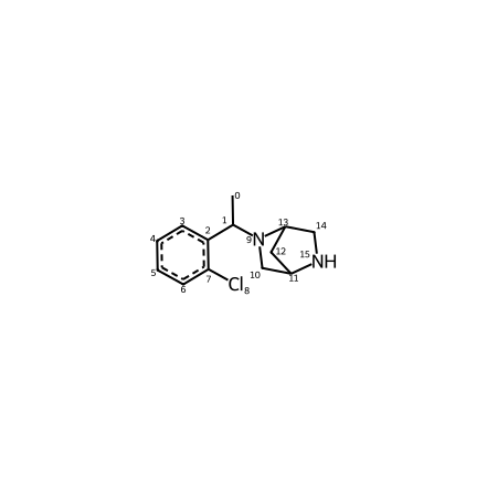 CC(c1ccccc1Cl)N1CC2CC1CN2